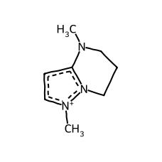 CN1CCCn2c1cc[n+]2C